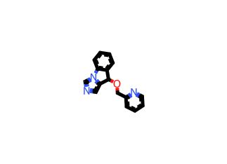 c1ccc(COC2c3ccccc3-n3cncc32)nc1